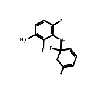 Cc1ccc(F)c(BC2(F)C=CC=C(F)C2)c1F